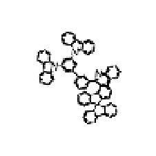 c1cc(-c2cc(-n3c4ccccc4c4ccccc43)cc(-n3c4ccccc4c4ccccc43)c2)cc(-c2nc3ccccc3c3ccc4c(c23)-c2ccccc2C42c3ccccc3-c3ccccc32)c1